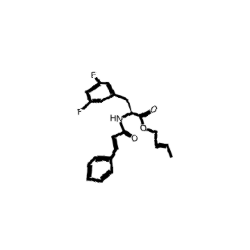 C/C=C/COC(=O)[C@H](Cc1cc(F)cc(F)c1)NC(=O)/C=C/c1ccccc1